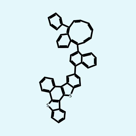 c1ccc(-c2ccccccc(-c3ccc(-c4ccc5sc6c(c5c4)c4ccccc4c4sc5ccccc5c46)c4ccccc34)c3ccccc23)cc1